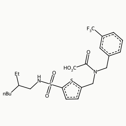 CCCCC(CC)CNS(=O)(=O)c1ccc(CN(Cc2cccc(C(F)(F)F)c2)C(=O)C(=O)O)s1